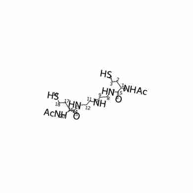 CC(=O)NC(CCS)C(=O)NCCNCCNC(=O)C(CCS)NC(C)=O